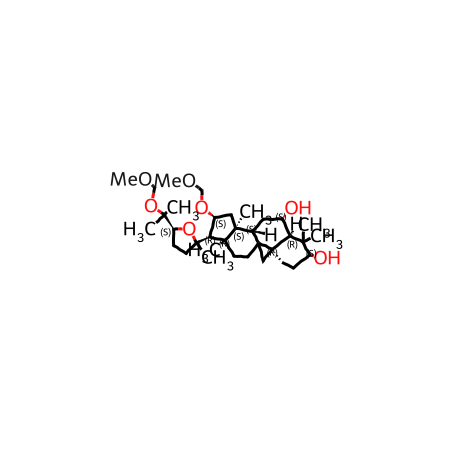 COCO[C@H]1C[C@@]2(C)[C@@H]3C[C@H](O)[C@H]4C(C)(C)[C@@H](O)CC[C@@]45CC35CC[C@]2(C)[C@H]1C1(C)CC[C@@H](C(C)(C)OCOC)O1